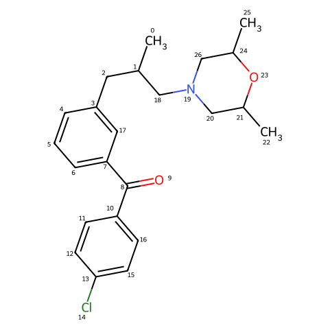 CC(Cc1cccc(C(=O)c2ccc(Cl)cc2)c1)CN1CC(C)OC(C)C1